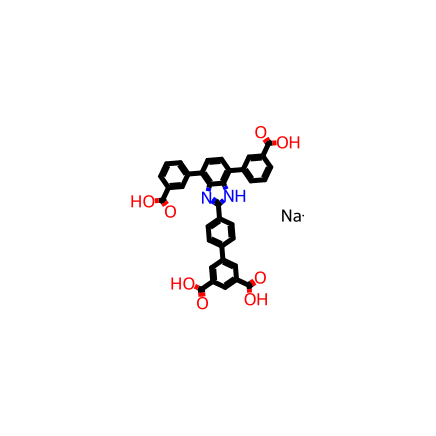 O=C(O)c1cc(C(=O)O)cc(-c2ccc(-c3nc4c(-c5cccc(C(=O)O)c5)ccc(-c5cccc(C(=O)O)c5)c4[nH]3)cc2)c1.[Na]